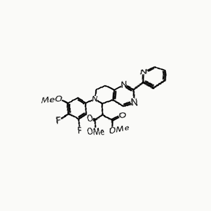 COC(=O)C(C(=O)OC)C1c2cnc(-c3ccccn3)nc2CCN1c1cc(F)c(F)c(OC)c1